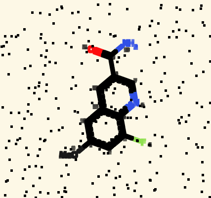 COc1cc(F)c2ncc(C(N)=O)cc2c1